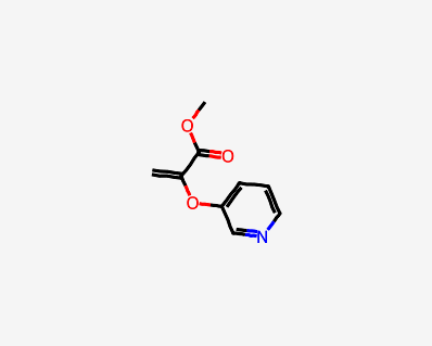 C=C(Oc1cccnc1)C(=O)OC